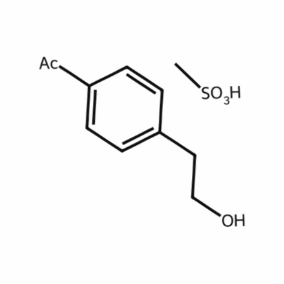 CC(=O)c1ccc(CCO)cc1.CS(=O)(=O)O